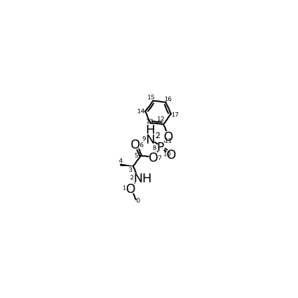 CON[C@@H](C)C(=O)OP(N)(=O)Oc1ccccc1